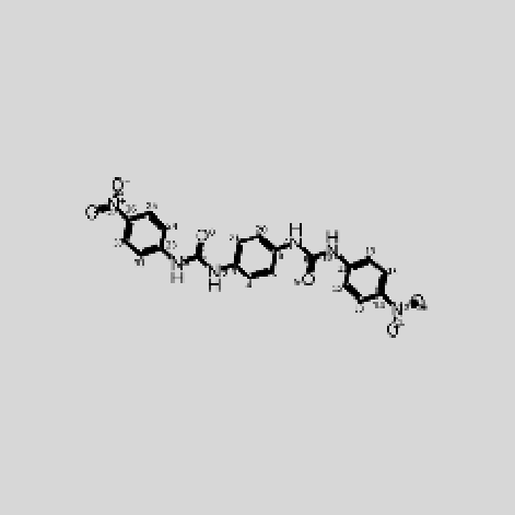 O=C(Nc1ccc(NC(=O)Nc2ccc([N+](=O)[O-])cc2)cc1)Nc1ccc([N+](=O)[O-])cc1